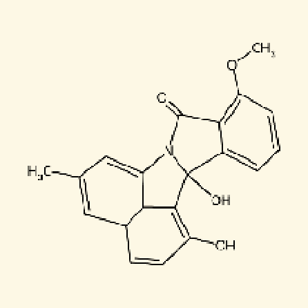 COc1cccc2c1C(=O)N1C3=CC(C)=CC4C=CC(O)=C(C34)C21O